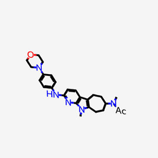 CC(=O)N(C)C1CCc2c(n(C)c3nc(Nc4ccc(N5CCOCC5)cc4)ccc23)CC1